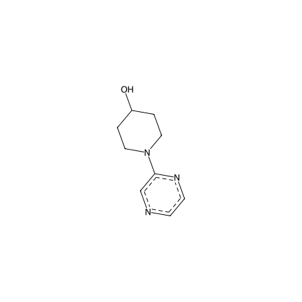 OC1CCN(c2cnccn2)CC1